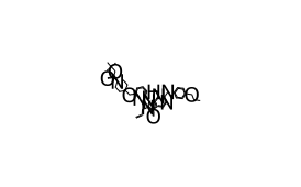 C=CCn1c(=O)c2cnc(Nc3ccc(OCC)cc3)nc2n1-c1cccc(OC2CCN(C(=O)OC(C)(C)C)CC2)n1